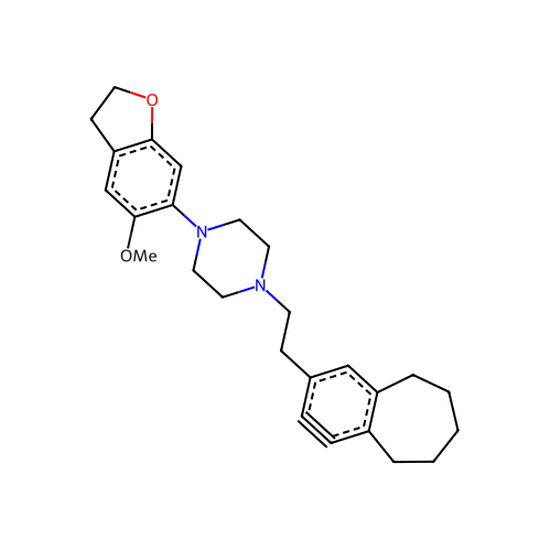 COc1cc2c(cc1N1CCN(CCc3c#cc4c(c3)CCCCC4)CC1)OCC2